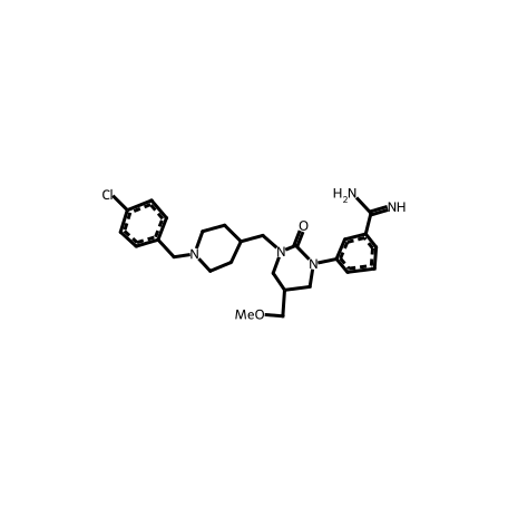 COCC1CN(CC2CCN(Cc3ccc(Cl)cc3)CC2)C(=O)N(c2cccc(C(=N)N)c2)C1